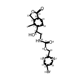 Cc1c(C(O)CNC(=O)OCc2ncc(Br)cn2)ccc2c1COC2=O